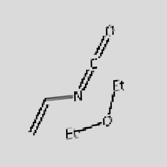 C=CN=C=O.CCOCC